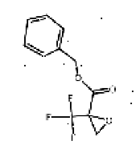 O=C(OCc1ccccc1)C1(C(F)(F)F)CO1